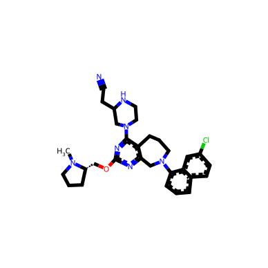 CN1CCC[C@H]1COc1nc2c(c(N3CCNC(CC#N)C3)n1)CCCN(c1cccc3ccc(Cl)cc13)C2